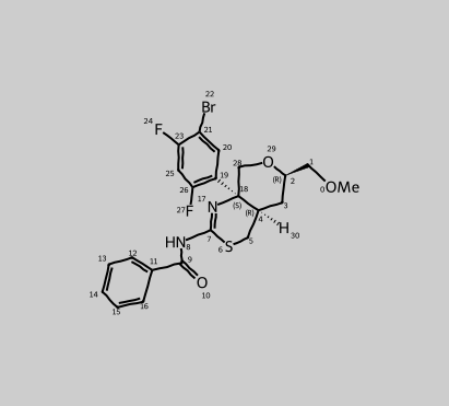 COC[C@H]1C[C@H]2CSC(NC(=O)c3ccccc3)=N[C@@]2(c2cc(Br)c(F)cc2F)CO1